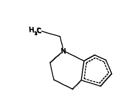 CCN1CCCc2ccccc21